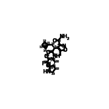 Cc1onc(C(N)=O)c1[C@H](CC12CC(C1)C2)C(=O)NN(C[C@@H]1CCNC1=O)C(=O)[C@H](F)Cl